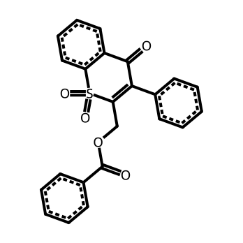 O=C(OCC1=C(c2ccccc2)C(=O)c2ccccc2S1(=O)=O)c1ccccc1